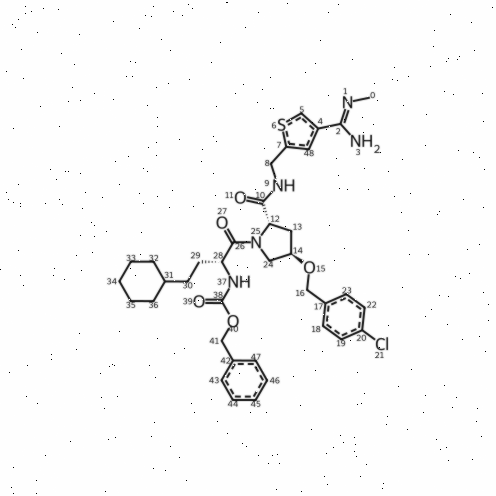 C/N=C(\N)c1csc(CNC(=O)[C@@H]2C[C@@H](OCc3ccc(Cl)cc3)CN2C(=O)[C@@H](CCC2CCCCC2)NC(=O)OCc2ccccc2)c1